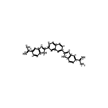 N=C(N)c1ccc2[nH]c(-c3ccc4cnc(-c5nc6cc(C(=N)N)ccc6[nH]5)cc4c3)nc2c1